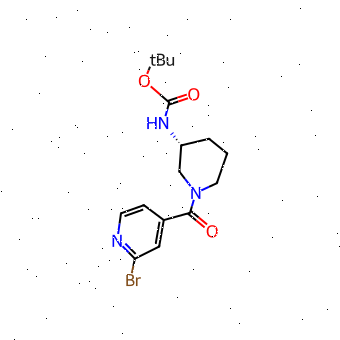 CC(C)(C)OC(=O)N[C@@H]1CCCN(C(=O)c2ccnc(Br)c2)C1